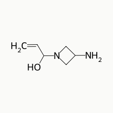 C=CC(O)N1CC(N)C1